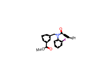 COC(=O)c1cccc(CN(C(=O)C#CC(C)C)c2ccccc2I)c1